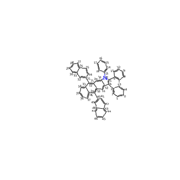 c1ccc(-c2c(-c3ccccc3)n(-c3ccccc3)c3cc4c(-c5ccc6ccccc6c5)c5ccccc5c(-c5ccc6ccccc6c5)c4cc23)cc1